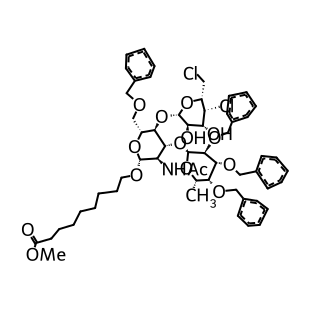 COC(=O)CCCCCCCCO[C@@H]1O[C@H](COCc2ccccc2)[C@@H](O[C@@H]2O[C@H](CCl)[C@H](Cl)[C@H](O)[C@H]2O)[C@H](O[C@@H]2O[C@@H](C)[C@@H](OCc3ccccc3)[C@@H](OCc3ccccc3)[C@@H]2OCc2ccccc2)[C@H]1NC(C)=O